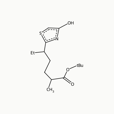 CCC(CCC(C)C(=O)OC(C)(C)C)c1nc(O)cs1